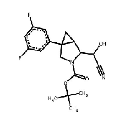 CC(C)(C)OC(=O)N1CC2(c3cc(F)cc(F)c3)CC2C1C(O)C#N